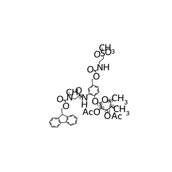 CC(=O)O[C@H]1[C@H](Oc2ccc(COC(=O)NCCS(C)(=O)=O)cc2NC(=O)CN(C)C(=O)OCC2c3ccccc3-c3ccccc32)O[C@H](C)[C@@H](C)[C@@H]1OC(C)=O